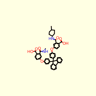 CNC(=O)c1cc(Oc2ccc(C3(c4ccc(Oc5ccc(C(=O)O)c(C(=O)NC6CCC(C)CC6)c5)cc4)c4ccccc4-c4ccccc43)cc2)ccc1C(=O)O